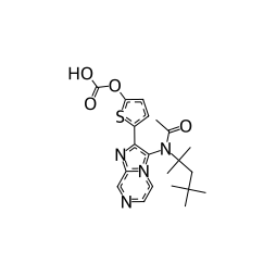 CC(=O)N(c1c(-c2ccc(OC(=O)O)s2)nc2cnccn12)C(C)(C)CC(C)(C)C